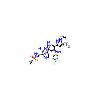 Cn1nc(C2=CNC(N)(c3ccnc(-c4cnn(S(=O)(=O)C5CC5)c4)n3)C=C2NC2CCC(F)CC2)cc1C(F)(F)F